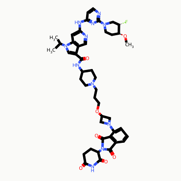 CO[C@@H]1CCN(c2nccc(Nc3cc4c(cn3)c(C(=O)NC3CCN(CCCOC5CN(c6cccc7c6C(=O)N(C6CCC(=O)NC6=O)C7=O)C5)CC3)cn4C(C)C)n2)C[C@@H]1F